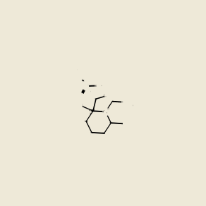 CC1CCCC(C)(CC(F)(F)F)N1CC(F)(F)F.O=[PH](O)O